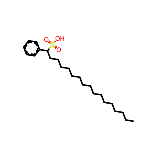 CCCCCCCCCCCCCCCCC(c1ccccc1)S(=O)(=O)O